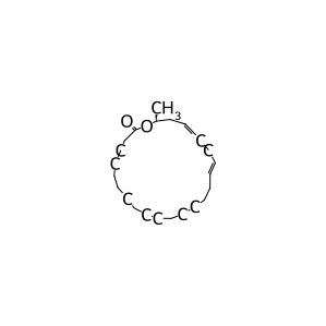 C[C@H]1C/C=C/CC/C=C/CCCCCCCCCCCCCCC(=O)O1